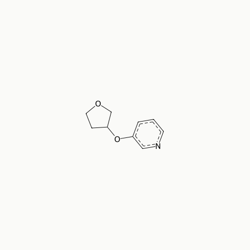 c1cncc(OC2CCOC2)c1